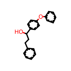 OC(CCc1ccccc1)c1ccc(Oc2ccccc2)cc1